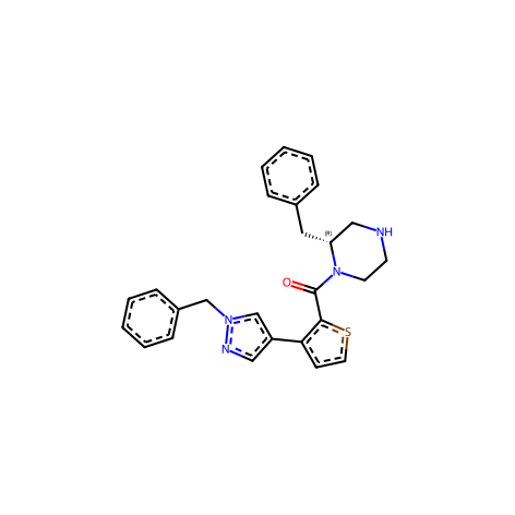 O=C(c1sccc1-c1cnn(Cc2ccccc2)c1)N1CCNC[C@H]1Cc1ccccc1